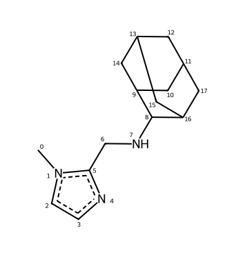 Cn1ccnc1CNC1C2CC3CC(C2)CC1C3